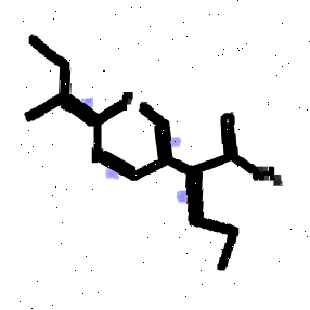 C/C=C(\C=N/C(F)=C(\C)CC)C(=C/CC)/C(N)=O